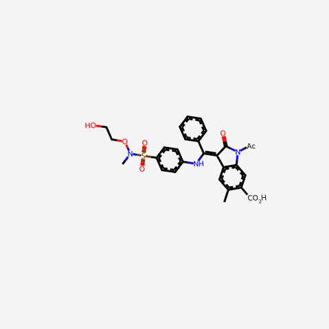 CC(=O)N1C(=O)/C(=C(/Nc2ccc(S(=O)(=O)N(C)OCCO)cc2)c2ccccc2)c2cc(C)c(C(=O)O)cc21